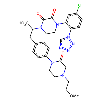 COCCN1CCN(c2ccc(CC(C(=O)O)N3CCN(c4cc(Cl)ccc4-n4cnnn4)C(=O)C3=O)cc2)C(=O)C1